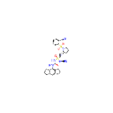 N#CN=S(=O)(/C=C/[C@H]1CCCN1S(=O)(=O)c1ccccc1C#N)NC(=O)Nc1c2c(cc3c1CCC3)CCC2